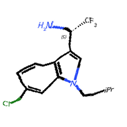 CC(C)Cn1cc([C@H](N)C(F)(F)F)c2ccc(Cl)cc21